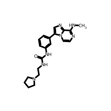 CNc1nccn2c(-c3cccc(NC(=O)NCCN4CCCC4)c3)cnc12